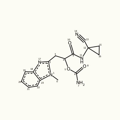 Cn1c(CC(OC(N)=O)C(=O)NC2(C#N)CC2)nc2ccccc21